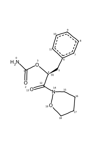 NC(=O)O[C@@H](Cc1ccccc1)C(=O)N1CCCCO1